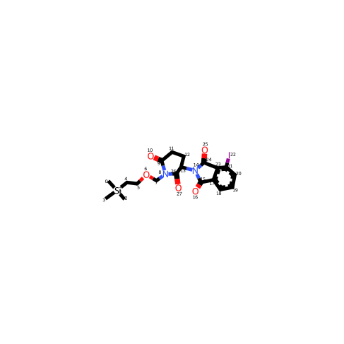 C[Si](C)(C)CCOCN1C(=O)CCC(N2C(=O)c3cccc(I)c3C2=O)C1=O